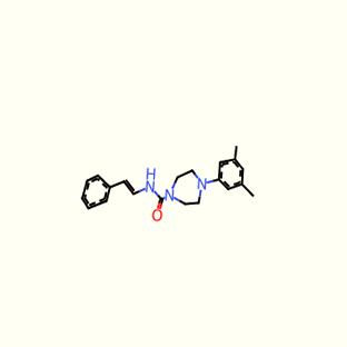 Cc1cc(C)cc(N2CCN(C(=O)NC=Cc3ccccc3)CC2)c1